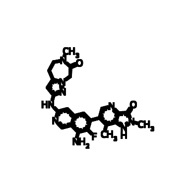 Cc1c(-c2cc3cc(Nc4cc5n(n4)CC(=O)N(C)CC5)ncc3c(N)c2F)cnc2c(=O)n(C)[nH]c12